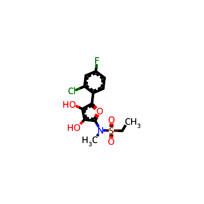 CCS(=O)(=O)N(C)c1oc(-c2ccc(F)cc2Cl)c(O)c1O